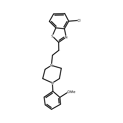 COc1ccccc1N1CCN(C[CH]c2nc3c(Cl)cccc3s2)CC1